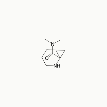 CN(C)C(=O)C12CC1CCCN2